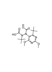 COc1nc(OC)c(N(C(=O)O)N(C(=O)O)C(C)(C)C)c(C(C)(C)C)n1